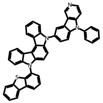 c1ccc(-n2c3ccncc3c3cc(-n4c5ccccc5c5c6c7ccccc7n(-c7cccc8c7sc7ccccc78)c6ccc54)ccc32)cc1